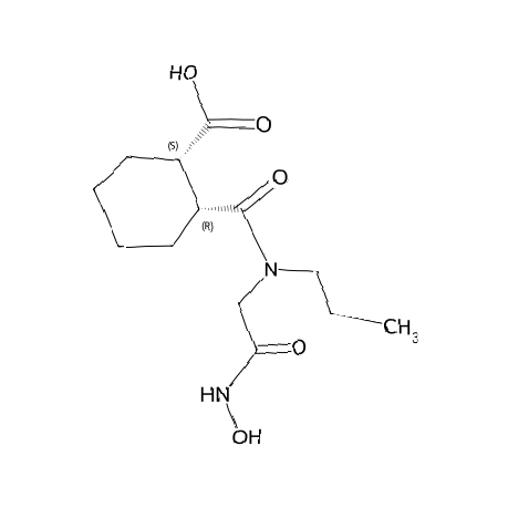 CCCN(CC(=O)NO)C(=O)[C@@H]1CCCC[C@@H]1C(=O)O